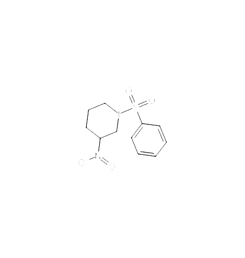 O=[N+]([O-])C1CCCI(S(=O)(=O)c2ccccc2)C1